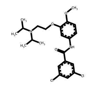 COc1ccc(NC(=O)c2cc(Cl)cc(Cl)c2)cc1OCCN(C(C)C)C(C)C